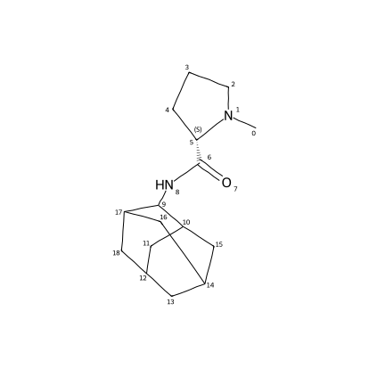 CN1CCC[C@H]1C(=O)NC1C2CC3CC(C2)CC1C3